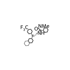 CNC(=O)[C@H](NCC[C@@H](c1ccc(C(F)(F)F)cc1)c1ccc2c(c1)CCCC2)c1ccccc1